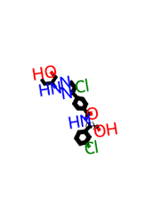 CCC(CO)Nc1ncc(Cl)c(-c2ccc(C(=O)N[C@H](CO)c3cccc(Cl)c3)cc2)n1